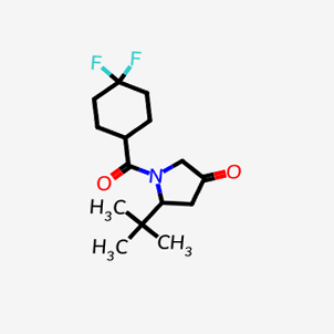 CC(C)(C)C1CC(=O)CN1C(=O)C1CCC(F)(F)CC1